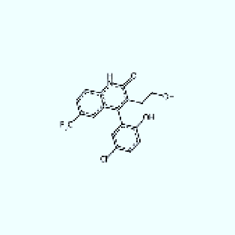 O=c1[nH]c2ccc(C(F)(F)F)cc2c(-c2cc(Cl)ccc2O)c1CCO